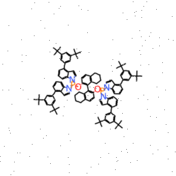 CC(C)(C)c1cc(-c2cccc3c2ccn3P(Oc2ccc3c(c2-c2c(OP(n4ccc5c(-c6cc(C(C)(C)C)cc(C(C)(C)C)c6)cccc54)n4ccc5c(-c6cc(C(C)(C)C)cc(C(C)(C)C)c6)cccc54)ccc4c2CCCC4)CCCC3)n2ccc3c(-c4cc(C(C)(C)C)cc(C(C)(C)C)c4)cccc32)cc(C(C)(C)C)c1